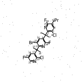 CC(C)c1cc(Cl)c(C(C)(C)c2cc(Br)c(C(C)(C)c3cc(F)cnc3Cl)nc2F)nc1F